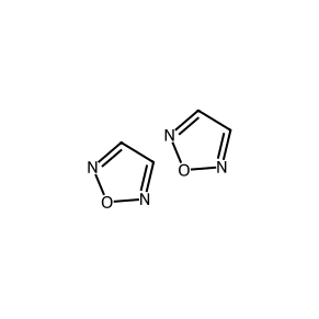 c1cnon1.c1cnon1